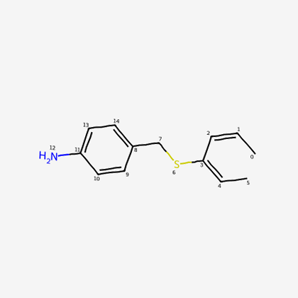 C/C=C\C(=C/C)SCc1ccc(N)cc1